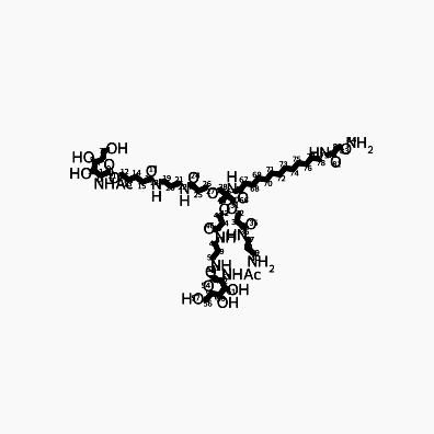 CC(=O)NC1C(O)[C@@H](O)C(CO)O[C@H]1OCCCCC(=O)NCCCNC(=O)CCOCC(COCCC(=O)NCCCN)(COCCC(=O)NCCCNO[C@@H]1OC(CO)[C@H](O)C(O)C1NC(C)=O)NC(=O)CCCCCCCCCCCCNC(=O)CON